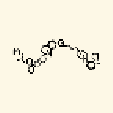 Cc1cccc(N2CCN(CCCCOc3ccc4c(c3)N=C(OCOC(=O)OCC(C)CC(C)C)CC4)CC2)c1Cl